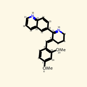 COc1ccc(/C=C2\CCCN=C2c2ccc3ncccc3c2)c(OC)c1